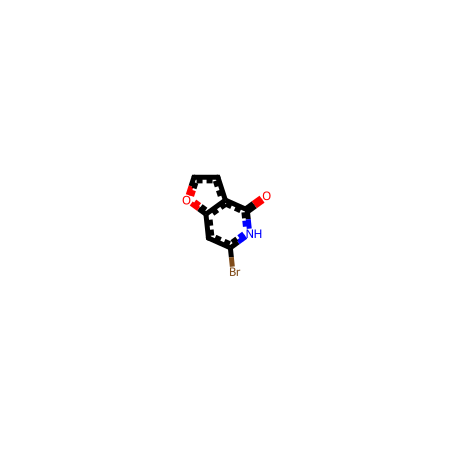 O=c1[nH]c(Br)cc2occc12